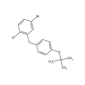 C[Si](C)(C)Oc1ccc(Cc2cc(Br)ccc2Cl)cc1